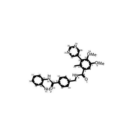 COc1cc(C(=O)NCc2ccc(C(=O)Nc3ccccc3N)cc2)c(C)c(-c2cncnc2)c1OC